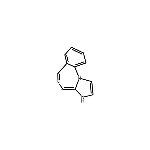 [C]1=C2NC=CN2c2ccccc2C=N1